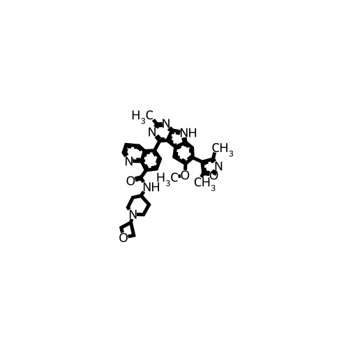 COc1cc2c(cc1-c1c(C)noc1C)[nH]c1nc(C)nc(-c3ccc(C(=O)NC4CCN(C5COC5)CC4)c4ncccc34)c12